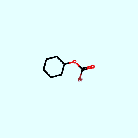 O=C(Br)OC1CCCCC1